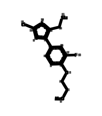 COCCOc1ccc(-c2nc(Cl)sc2CC(C)(C)C)cc1F